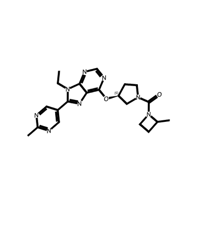 CCn1c(-c2cnc(C)nc2)nc2c(O[C@H]3CCN(C(=O)N4CCC4C)C3)ncnc21